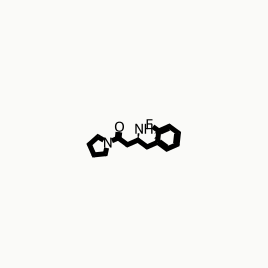 N[C@@H](CC(=O)N1CCCC1)Cc1ccccc1F